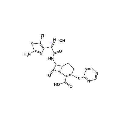 Nc1nc(/C(=N/O)C(=O)NC2C(=O)N3C(C(=O)O)=C(Sc4ncncn4)CCC23)c(Cl)s1